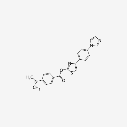 CN(C)c1ccc(C(=O)Oc2nc(-c3ccc(-n4ccnc4)cc3)cs2)cc1